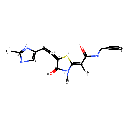 C#CCNC(=O)/C(C#N)=c1\sc(=C=Cc2c[nH]c(C)n2)c(=O)n1CC